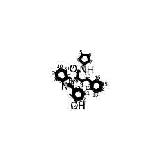 O=C(NC1CCCC1)C(CCc1ccccc1)n1c(-c2cccc(O)c2)nc2ccccc21